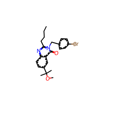 CCCCc1nc2ccc(C(C)(C)OC)cc2c(=O)n1Cc1ccc(Br)cc1